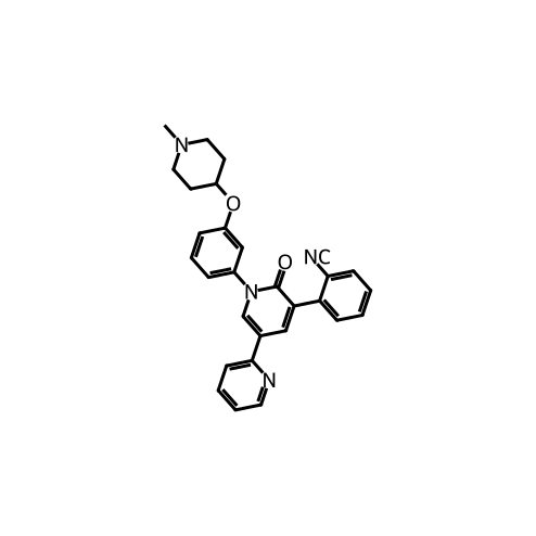 CN1CCC(Oc2cccc(-n3cc(-c4ccccn4)cc(-c4ccccc4C#N)c3=O)c2)CC1